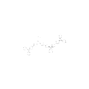 C1=CCC=C(N(c2ccc(-c3ccc(N(c4ccccc4)c4ccccc4)cc3)cc2)c2ccc(-c3ccc(N(c4ccccc4)c4ccc(-c5ccc(N(c6ccccc6)c6ccccc6)cc5)cc4)cc3)cc2)C=C1